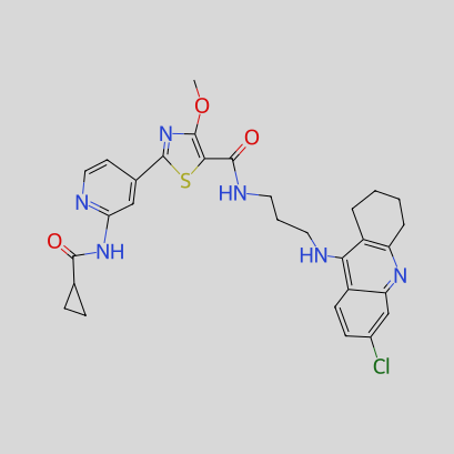 COc1nc(-c2ccnc(NC(=O)C3CC3)c2)sc1C(=O)NCCCNc1c2c(nc3cc(Cl)ccc13)CCCC2